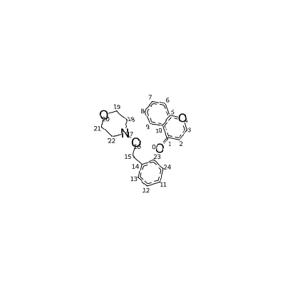 O=c1ccoc2ccccc12.c1ccc(CON2CCOCC2)cc1